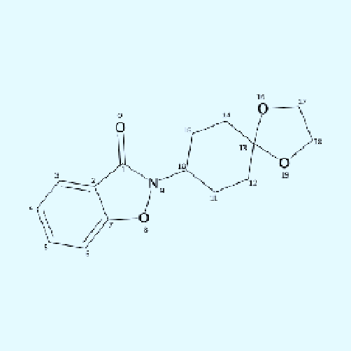 O=c1c2ccccc2on1C1CCC2(CC1)OCCO2